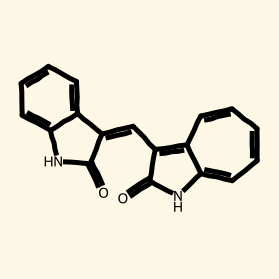 O=C1Nc2ccccc2/C1=C/c1c2cccccc-2[nH]c1=O